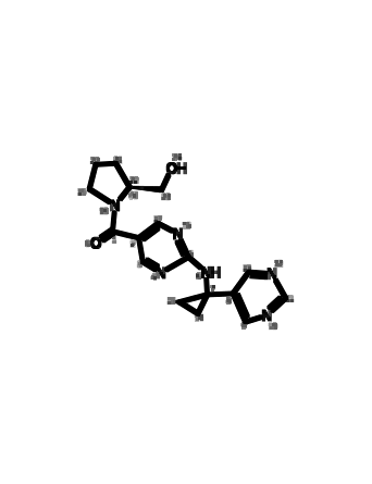 O=C(c1cnc(NC2(c3cncnc3)CC2)nc1)N1CCC[C@H]1CO